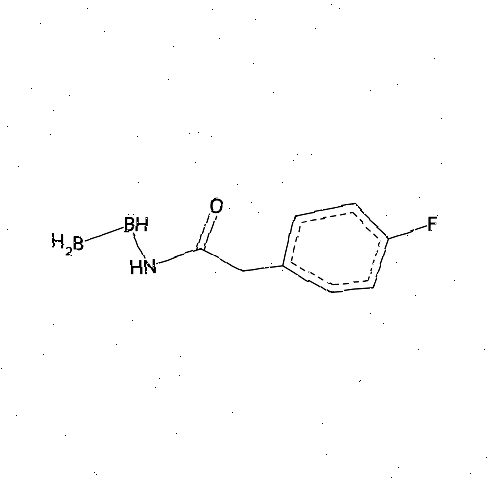 BBNC(=O)Cc1ccc(F)cc1